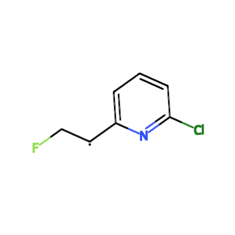 FC[CH]c1cccc(Cl)n1